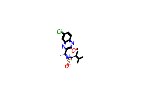 COc1nc2ccc(Cl)cc2nc1[C@@H](C)N1[C@@H](C(C)C(C)C)[S@@+]1[O-]